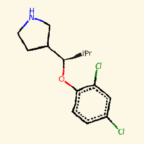 CC(C)[C@@H](Oc1ccc(Cl)cc1Cl)C1CCNC1